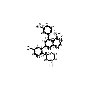 Nc1ncnc2nc(-c3cc(Cl)cnc3C3CNCCO3)cc(-c3cccc(Br)c3)c12